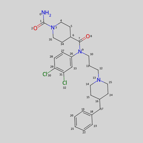 NC(=O)N1CCC(C(=O)N(CCCN2CCC(Cc3ccccc3)CC2)c2ccc(Cl)c(Cl)c2)CC1